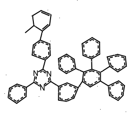 CC1CC=CC=C1c1ccc(-c2nc(-c3ccccc3)nc(-c3cccc(-c4cc(-c5ccccc5)c(-c5ccccc5)c(-c5ccccc5)c4-c4ccccc4)c3)n2)cc1